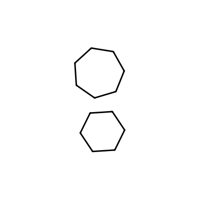 C1CCCCC1.C1CCCCCC1